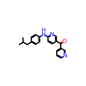 CC(C)Cc1ccc(Nc2ccc(C(=O)c3cccnc3)cn2)cc1